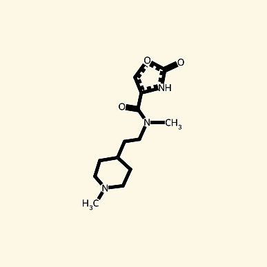 CN1CCC(CCN(C)C(=O)c2coc(=O)[nH]2)CC1